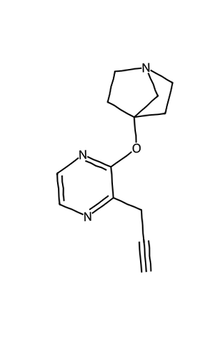 C#CCc1nccnc1OC12CCN(CC1)C2